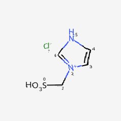 O=S(=O)(O)C[n+]1cc[nH]c1.[Cl-]